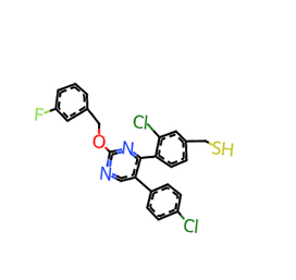 Fc1cccc(COc2ncc(-c3ccc(Cl)cc3)c(-c3ccc(CS)cc3Cl)n2)c1